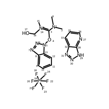 CN(C)C(On1nnc2ccccc21)=[N+](C)CO.F[P-](F)(F)(F)(F)F.c1cnc2[nH]nnc2c1